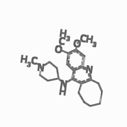 COc1cc2nc3c(c(NC4CCN(C)CC4)c2cc1OC)CCCCCC3